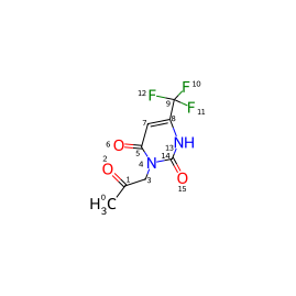 CC(=O)Cn1c(=O)cc(C(F)(F)F)[nH]c1=O